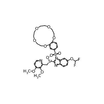 COc1ccnc(C[S+]([O-])c2nc3ccc(OC(F)F)cc3n2S(=O)(=O)c2ccc3c(c2)OCCOCCOCCOCCO3)c1OC